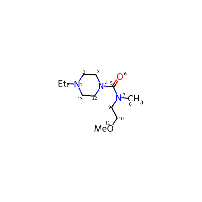 CCN1CCN(C(=O)N(C)CCOC)CC1